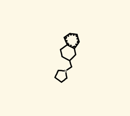 c1ccc2c(c1)CCC(CN1CCCC1)C2